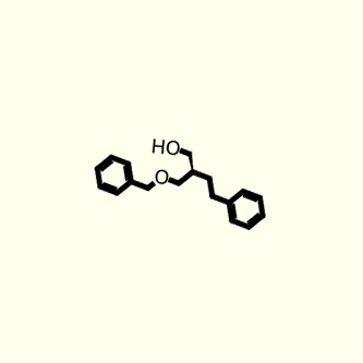 OC[C@@H](CCc1ccccc1)COCc1ccccc1